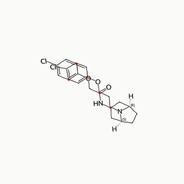 O=C(COc1ccc(Cl)cc1)NC1C[C@H]2CC[C@@H](C1)N2CCCOc1ccc(Cl)cc1